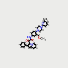 COCc1cc(NC(=O)C(=O)c2c(-c3ccccc3)cc3ccccn23)ccc1N1CCN(c2cccc(C)n2)CC1